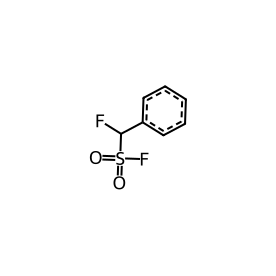 O=S(=O)(F)C(F)c1ccccc1